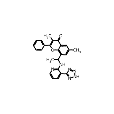 Cc1cc(C(C)Nc2ncccc2-c2nn[nH]n2)c2oc(-c3ccccc3)c(C)c(=O)c2c1